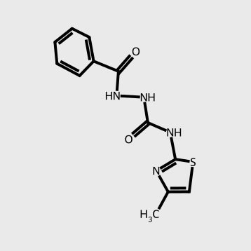 Cc1csc(NC(=O)NNC(=O)c2ccccc2)n1